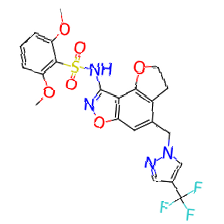 COc1cccc(OC)c1S(=O)(=O)Nc1noc2cc(Cn3cc(C(F)(F)F)cn3)c3c(c12)OCC3